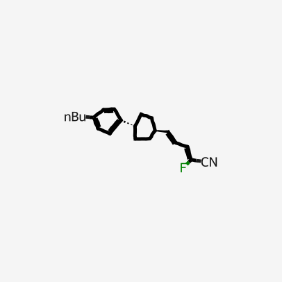 CCCCc1ccc([C@H]2CC[C@H](/C=C/C=C(\F)C#N)CC2)cc1